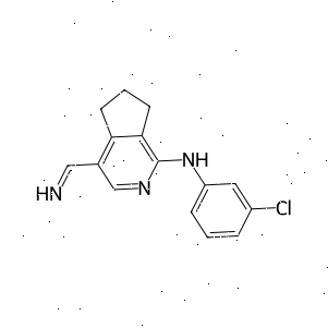 N=Cc1cnc(Nc2cccc(Cl)c2)c2c1CCC2